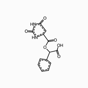 O=C(OC(C(=O)O)c1ccccc1)c1cc(=O)[nH]c(=O)[nH]1